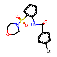 CCc1ccc(C(=O)Nc2ccccc2S(=O)(=O)N2CCOCC2)cc1